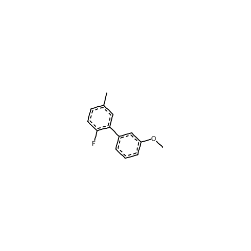 COc1cccc(-c2cc(C)ccc2F)c1